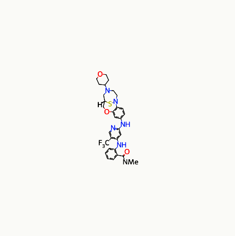 CNC(=O)c1ccccc1Nc1cc(Nc2ccc3c(c2)OC[C@@H]2CN(C4CCOCC4)CCN3S2)ncc1C(F)(F)F